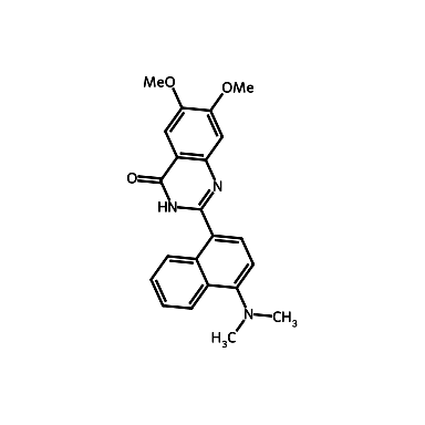 COc1cc2nc(-c3ccc(N(C)C)c4ccccc34)[nH]c(=O)c2cc1OC